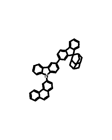 c1ccc2c(c1)-c1ccc(-c3ccc4c(c3)c3ccccc3n4-c3ccc4ccc5ccccc5c4c3)cc1C21C2CC3CC(C2)CC1C3